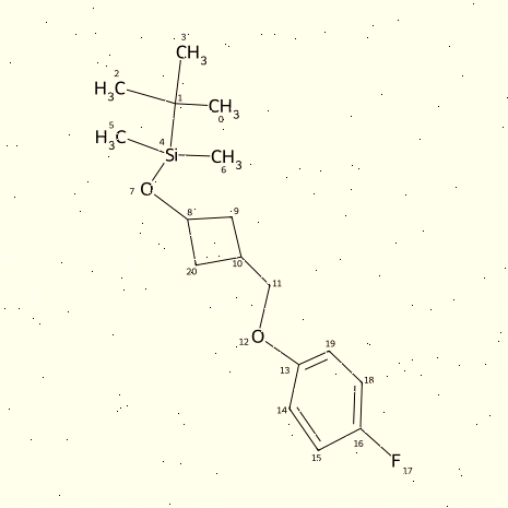 CC(C)(C)[Si](C)(C)OC1CC(COc2ccc(F)cc2)C1